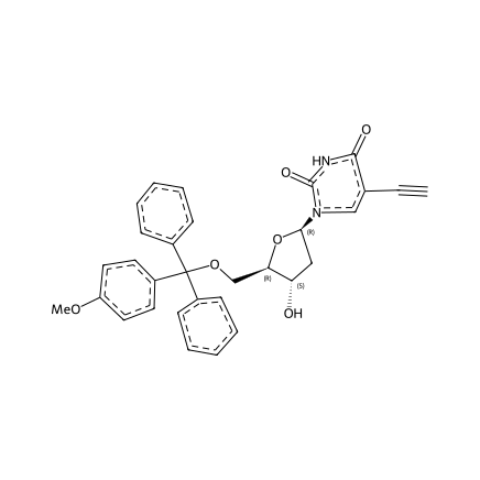 C#Cc1cn([C@H]2C[C@H](O)[C@@H](COC(c3ccccc3)(c3ccccc3)c3ccc(OC)cc3)O2)c(=O)[nH]c1=O